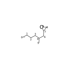 [CH2]CCCC(C)CC1CO1